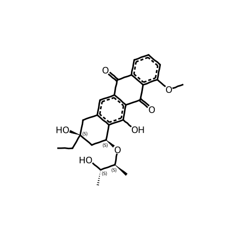 CC[C@]1(O)Cc2cc3c(c(O)c2[C@@H](O[C@@H](C)[C@H](C)O)C1)C(=O)c1c(OC)cccc1C3=O